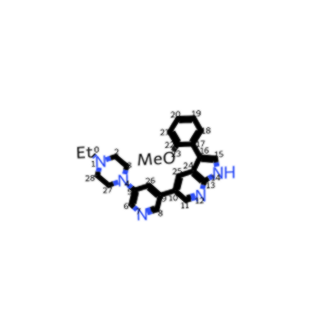 CCN1CCN(c2cncc(-c3cnc4[nH]cc(-c5ccccc5OC)c4c3)c2)CC1